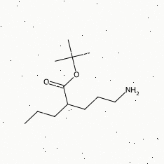 CCCC(CCCN)C(=O)OC(C)(C)C